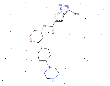 Cc1n[nH]c2sc(C(=O)N[C@H]3CCO[C@@H](C4CCC(N5CCNCC5)CC4)C3)cc12